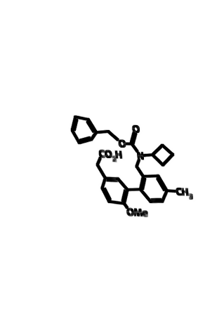 COc1ccc(CC(=O)O)cc1-c1ccc(C)cc1CN(C(=O)OCc1ccccc1)C1CCC1